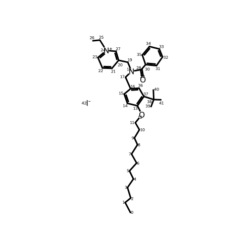 CCCCCCCCCCCCOc1ccc(CN(Cc2ccc[n+](CC)c2)C(=O)c2ccccc2)cc1C(C)(C)C.[I-]